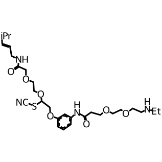 CCNCCOCCOCCC(=O)Nc1cccc(OCC(OCCOCC(=O)NC/C=C/C(C)C)SC#N)c1